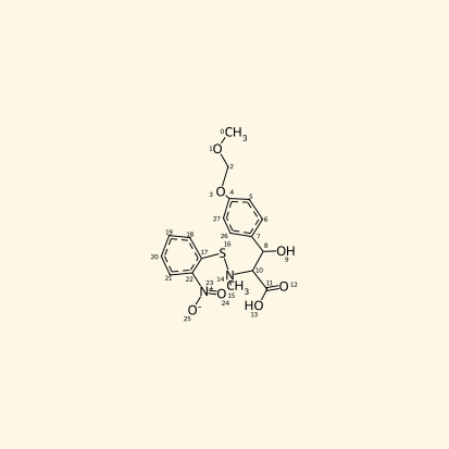 COCOc1ccc(C(O)C(C(=O)O)N(C)Sc2ccccc2[N+](=O)[O-])cc1